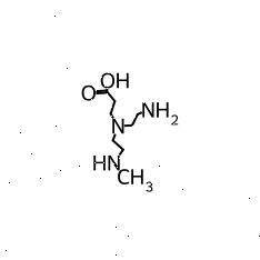 CNCCN(CCN)CCC(=O)O